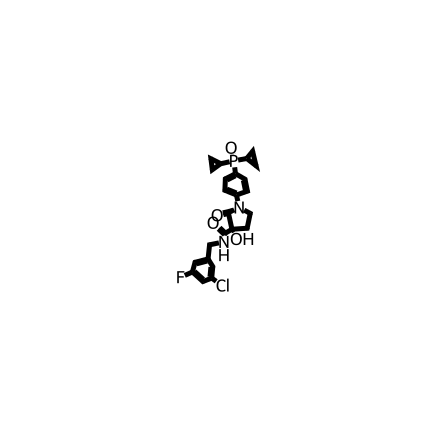 O=C(NCc1cc(F)cc(Cl)c1)[C@@]1(O)CCN(c2ccc(P(=O)(C3CC3)C3CC3)cc2)C1=O